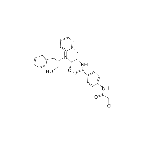 O=C(CCl)Nc1ccc(C(=O)N[C@@H](Cc2ccccc2)C(=O)N[C@H](CO)Cc2ccccc2)cc1